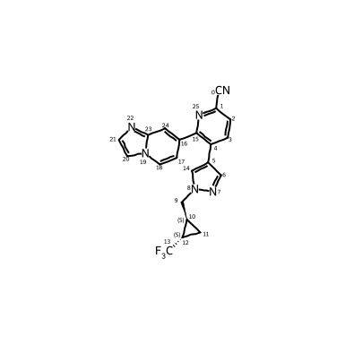 N#Cc1ccc(-c2cnn(C[C@H]3C[C@@H]3C(F)(F)F)c2)c(-c2ccn3ccnc3c2)n1